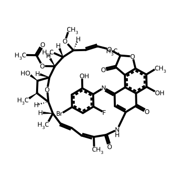 CO[C@H]1/C=C/O[C@@]2(C)Oc3c(C)c(O)c4c(c3C2=O)/C(=N/c2c(O)cc(Br)cc2F)C=C(NC(=O)/C(C)=C\C=C\[C@H](C)[C@@H]2O[C@H]([C@H](O)[C@@H]2C)[C@H](OC(C)=O)[C@@H]1C)C4=O